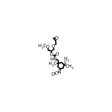 COCC(COCC1CO1)OC(=O)NCC1(C)CC(N=C=O)CC(C)(C)C1